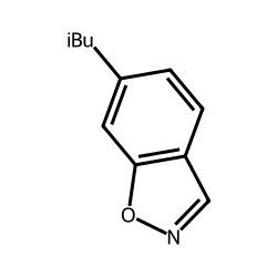 CCC(C)c1ccc2cnoc2c1